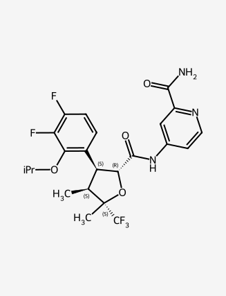 CC(C)Oc1c([C@H]2[C@H](C(=O)Nc3ccnc(C(N)=O)c3)O[C@](C)(C(F)(F)F)[C@H]2C)ccc(F)c1F